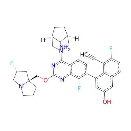 C#Cc1c(F)ccc2cc(O)cc(-c3ccc4c(N5C[C@H]6CC[C@@H](C5)C6N)nc(OC[C@@]56CCCN5C[C@H](F)C6)nc4c3F)c12